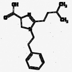 CC(C)CCC1=NC(C(=O)O)CN1CCc1ccccc1